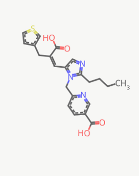 CCCCc1ncc(C=C(Cc2ccsc2)C(=O)O)n1Cc1ccc(C(=O)O)cn1